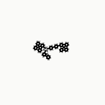 c1ccc(C2(c3ccccc3)c3ccccc3-c3ccc(-c4ccc(-c5ccc(-c6nc(-c7cccc8c7-c7ccccc7C8(c7ccccc7)c7ccccc7)nc(-c7cccc8c7sc7ccccc78)n6)cc5)cc4)cc32)cc1